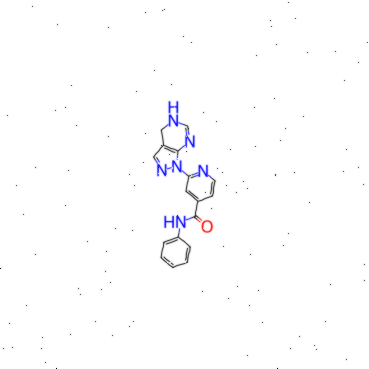 O=C(Nc1ccccc1)c1ccnc(-n2ncc3c2N=CNC3)c1